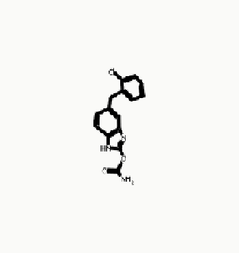 NC(=O)Oc1nc2cc(Cc3ccccc3Cl)ccc2[nH]1